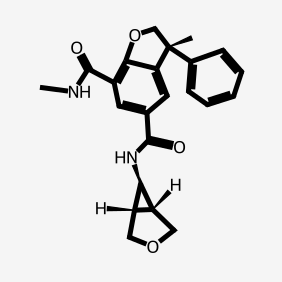 CNC(=O)c1cc(C(=O)N[C@H]2[C@@H]3COC[C@@H]32)cc2c1OC[C@]2(C)c1ccccc1